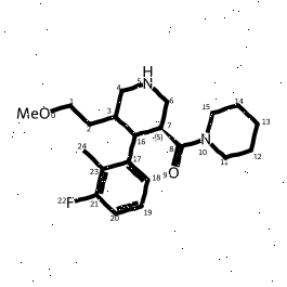 COCC[C]1CNC[C@@H](C(=O)N2CCCCC2)C1c1cccc(F)c1C